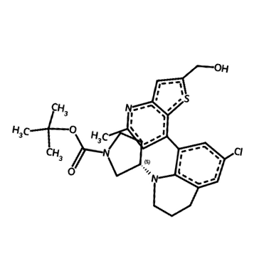 Cc1cc(-c2cc(Cl)cc3c2N([C@H]2CCN(C(=O)OC(C)(C)C)C2)CCC3)c2sc(CO)cc2n1